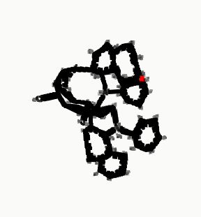 O=C1c2cc3ccc2C(=O)C2C4=C(C(=CC12)c1ccc2ccccc2c1N4c1ccccc1)N(c1ccccc1)c1c-3ccc2ccccc12